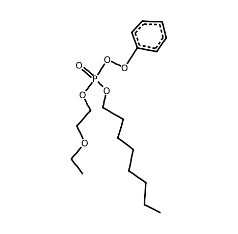 CCCCCCCCOP(=O)(OCCOCC)OOc1ccccc1